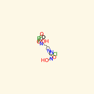 COc1cccc(C(O)(C(=O)N(C)CCCC2CCN(c3ccc(C(=O)N(C)CCO)c(Cl)n3)CC2)C(F)(F)F)c1